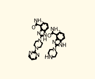 NC(=O)c1cccc2[nH]c(N3CCN(c4ncccn4)CC3)nc12.NC(=O)c1cccc2[nH]c(N3CCNCC3)nc12